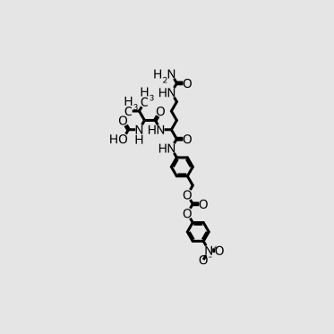 CC(C)C(NC(=O)O)C(=O)NC(CCCNC(N)=O)C(=O)Nc1ccc(COC(=O)Oc2ccc([N+](=O)[O-])cc2)cc1